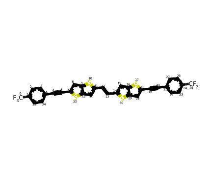 FC(F)(F)c1ccc(C#Cc2cc3sc(/C=C/c4cc5sc(C#Cc6ccc(C(F)(F)F)cc6)cc5s4)cc3s2)cc1